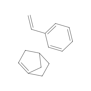 C1=C2CCC(C1)C2.C=Cc1ccccc1